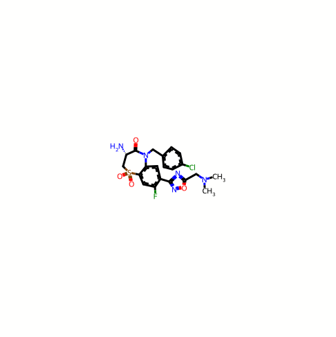 CN(C)Cc1nc(-c2cc3c(cc2F)S(=O)(=O)C[C@H](N)C(=O)N3Cc2ccc(Cl)cc2)no1